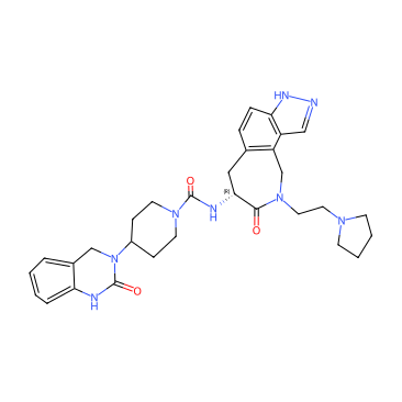 O=C(N[C@@H]1Cc2ccc3[nH]ncc3c2CN(CCN2CCCC2)C1=O)N1CCC(N2Cc3ccccc3NC2=O)CC1